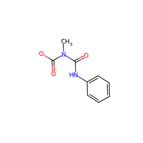 CN(C([O])=O)C(=O)Nc1ccccc1